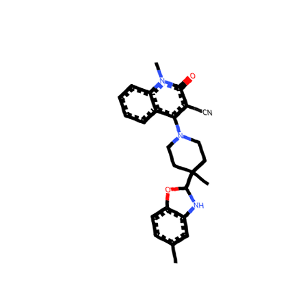 Cc1ccc2c(c1)NC(C1(C)CCN(c3c(C#N)c(=O)n(C)c4ccccc34)CC1)O2